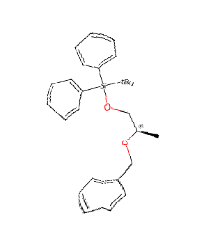 C[C@H](CO[Si](c1ccccc1)(c1ccccc1)C(C)(C)C)OCc1ccccc1